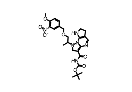 COc1ccc(COCC(C)N2CC(C(=O)NC(=O)OC(C)(C)C)=C3N=CC4=C(NCC4)N32)cc1[N+](=O)[O-]